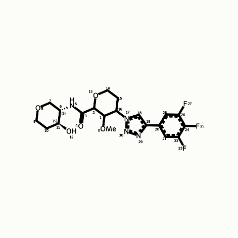 COC1C(C(=O)N[C@H]2COCC[C@@H]2O)OCCC1n1cc(-c2cc(F)c(F)c(F)c2)nn1